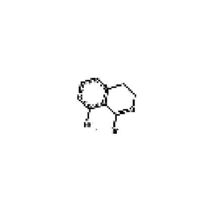 O=[N+]([O-])c1cccc2c1C(Br)=NCC2